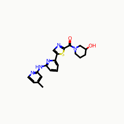 Cc1ccnc(Nc2cccc(-c3cnc(C(=O)N4CCCC(O)C4)s3)n2)c1